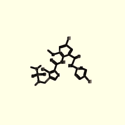 COc1cc(Cl)cc(C(=O)Nc2ccc(Cl)cn2)c1NC(=O)c1scc(CN(C)S(=O)(=O)N(C)C)c1Cl